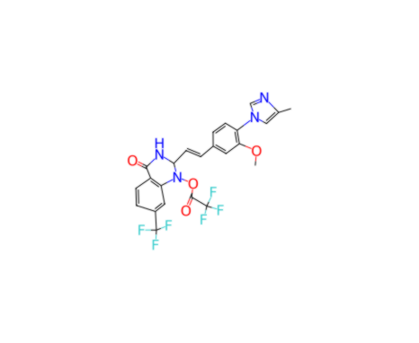 COc1cc(C=CC2NC(=O)c3ccc(C(F)(F)F)cc3N2OC(=O)C(F)(F)F)ccc1-n1cnc(C)c1